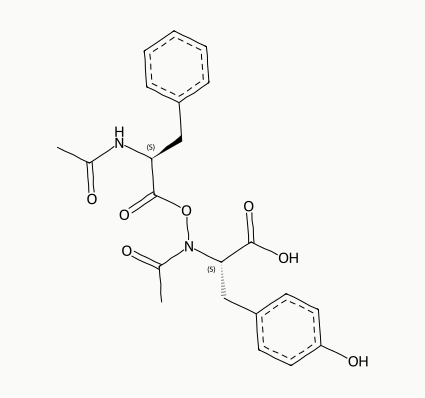 CC(=O)N[C@@H](Cc1ccccc1)C(=O)ON(C(C)=O)[C@@H](Cc1ccc(O)cc1)C(=O)O